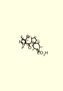 Cc1nn(C)c(C(=O)N2CCCC23CCN(C(=O)O)CC3)c1Br